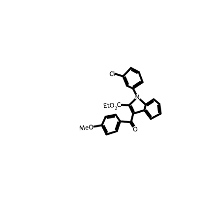 CCOC(=O)c1c(C(=O)c2ccc(OC)cc2)c2ccccc2n1-c1cccc(Cl)c1